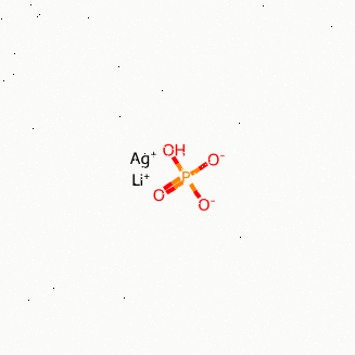 O=P([O-])([O-])O.[Ag+].[Li+]